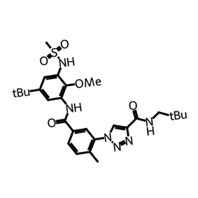 COc1c(NC(=O)c2ccc(C)c(-n3cc(C(=O)NCC(C)(C)C)nn3)c2)cc(C(C)(C)C)cc1NS(C)(=O)=O